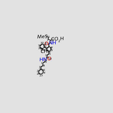 CSCC[C@H](NC(=O)c1ccc(CCC(=O)NCCCCC2CCCCC2)cc1-c1ccccc1C)C(=O)O